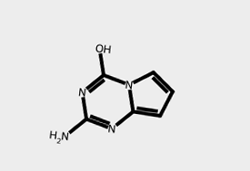 Nc1nc(O)n2cccc2n1